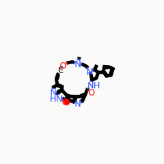 CC1C(c2ccccc2)CC2CN1CCN(C)CCOC/C=C\c1cnc3c(c1)[C@]1(Cc4cc(cnc4C1=O)C(=O)N2)C(=O)N3